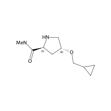 CNC(=O)[C@@H]1C[C@@H](OCC2CC2)CN1